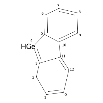 C1=CC[C]2=[GeH][c]3ccccc3C2=C1